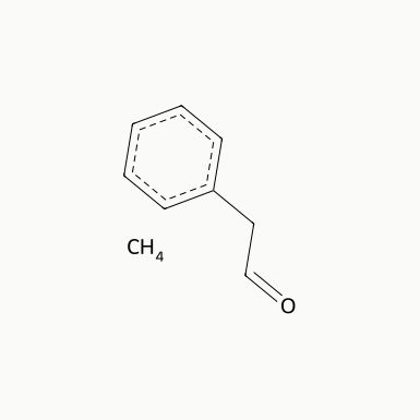 C.O=CCc1ccccc1